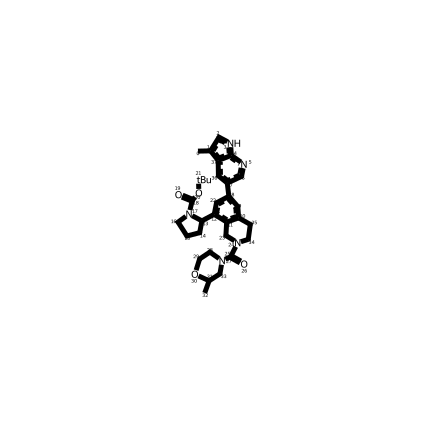 Cc1c[nH]c2ncc(-c3cc4c(c(C5CCCN5C(=O)OC(C)(C)C)c3)CN(C(=O)N3CCOC(C)C3)CC4)cc12